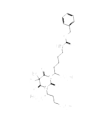 CCC1(CC)C(=O)N(C(CCCCNC(=O)OCc2ccccc2)C(=O)O)C(=O)N([C@@H](CCC(=O)O)C(=O)O)C1=O